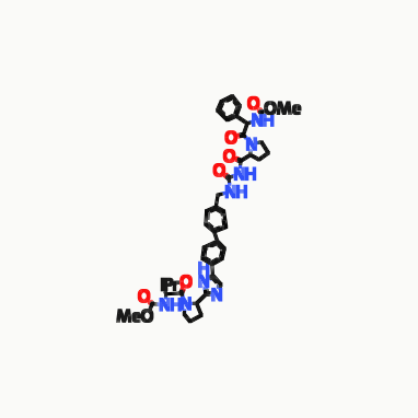 COC(=O)NC(C(=O)N1CCCC1C(=O)NC(=O)NCc1ccc(-c2ccc(-c3cnc(C4CCCN4C(=O)C(NC(=O)OC)C(C)C)[nH]3)cc2)cc1)c1ccccc1